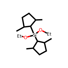 CCO[Si](OCC)(C1C(C)CCC1C)C1C(C)CCC1C